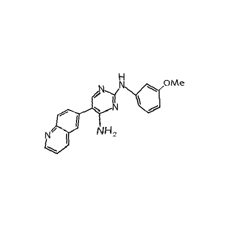 COc1cccc(Nc2ncc(-c3ccc4ncccc4c3)c(N)n2)c1